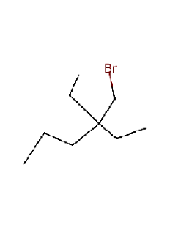 CCCC(CC)(CC)CBr